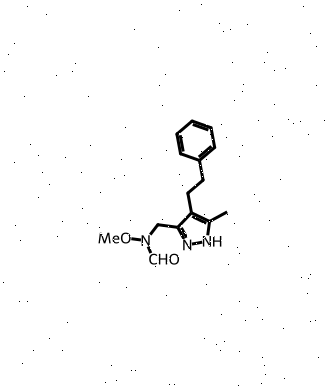 CON(C=O)Cc1n[nH]c(C)c1CCc1ccccc1